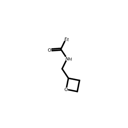 CCC(=O)NCC1CCO1